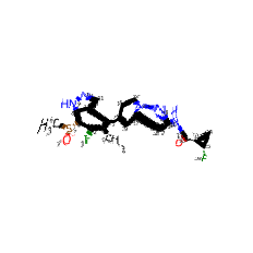 Cc1c(F)c([S+](C)[O-])c2[nH]ncc2c1-c1ccn2nc(NC(=O)[C@@H]3C[C@@H]3F)cc2c1